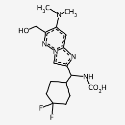 CN(C)c1cc2nc(C(NC(=O)O)C3CCC(F)(F)CC3)cn2nc1CO